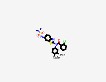 COc1ccc(N(C(=O)c2ccccc2Cl)c2nc3ccc(NS(=O)(=O)N(C)C)cc3s2)cc1OC